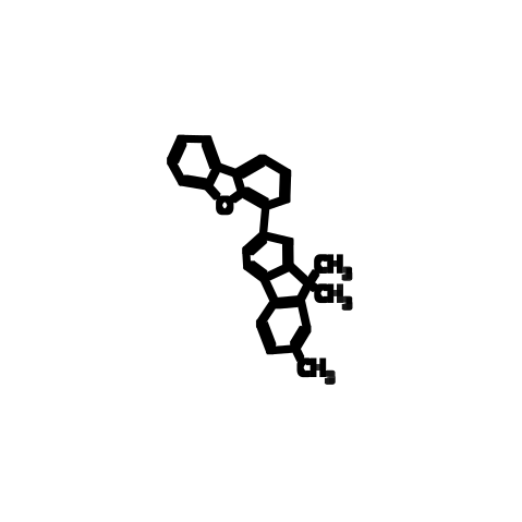 Cc1ccc2c(c1)C(C)(C)c1cc(-c3cccc4c3oc3ccccc34)ccc1-2